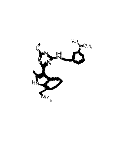 COc1nc(NCc2cccc(B(O)O)c2)nc(-c2c(C)[nH]c3c(CN)cccc23)n1